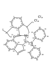 CC(C)c1cccc(C(C)C)c1C(=O)[NH][Ti+2]([CH]1C=Cc2ccccc21)[SiH](c1ccccc1)c1ccccc1.[Cl-].[Cl-]